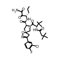 CCC[C@H](NC(=O)[C@@H]1C[C@]2(CC(c3ccc(F)c(Cl)c3)=NO2)CN1C(=O)[C@@H](NC(=O)CC(C)(C)C)C(C)(C)C)C(=O)C(N)=O